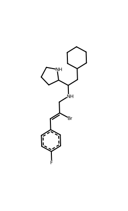 Fc1ccc(C=C(Br)CNC(CC2CCCCC2)C2CCCN2)cc1